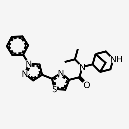 CC(C)N(C(=O)c1csc(-c2cnn(-c3ccccc3)c2)n1)C1C2CNCC1C2